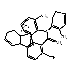 C=C(c1c(C)ccc2c1O[C@]1(C)CCC=CC21)N(C1=C(C)C=CCC1)c1c(C)cccc1C